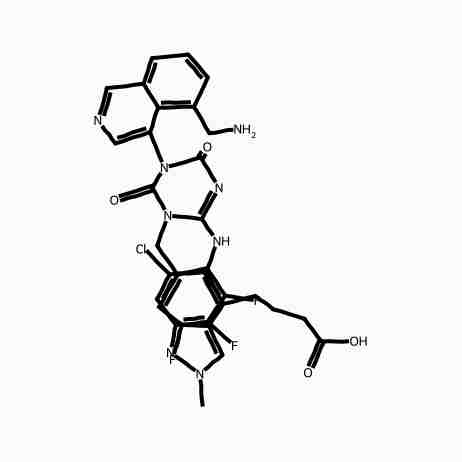 Cn1cc2c(CCCC(=O)O)c(Nc3nc(=O)n(-c4cncc5cccc(CN)c45)c(=O)n3Cc3cc(F)c(F)c(F)c3)c(Cl)cc2n1